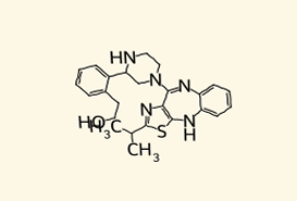 CC(C)c1nc2c(s1)Nc1ccccc1N=C2N1CCNC(c2ccccc2CCO)C1